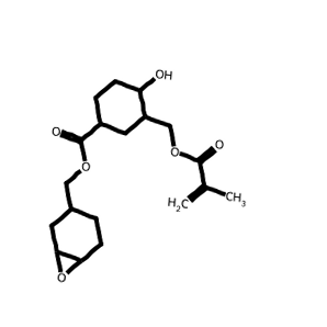 C=C(C)C(=O)OCC1CC(C(=O)OCC2CCC3OC3C2)CCC1O